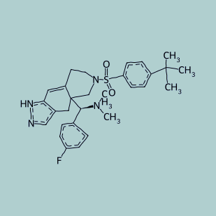 CN(C)[C@@H](c1ccc(F)cc1)C12Cc3cn[nH]c3C=C1CCN(S(=O)(=O)c1ccc(C(C)(C)C)cc1)C2